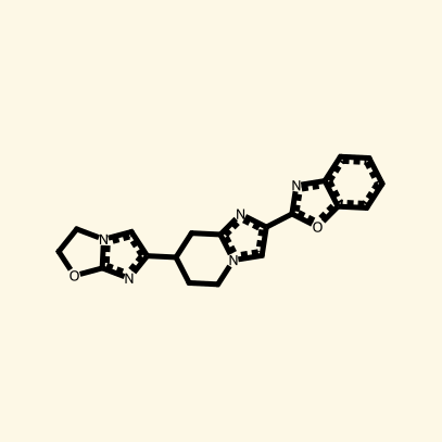 c1ccc2oc(-c3cn4c(n3)CC(c3cn5c(n3)OCC5)CC4)nc2c1